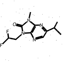 CC(C)c1cnc2c(n1)n(C)c(=O)n2CC(F)F